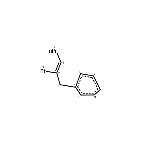 CCCC=C(CC)Cc1ccccc1